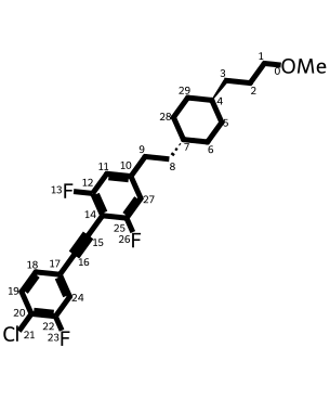 COCCC[C@H]1CC[C@H](CCc2cc(F)c(C#Cc3ccc(Cl)c(F)c3)c(F)c2)CC1